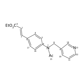 CCOC(=O)C=Cc1ccc(N(Cc2cccnc2)C(C)=O)cc1